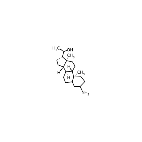 C[C@@H](O)[C@H]1CC[C@H]2[C@@H]3CCC4CC(N)CC[C@]4(C)[C@H]3CC[C@]12C